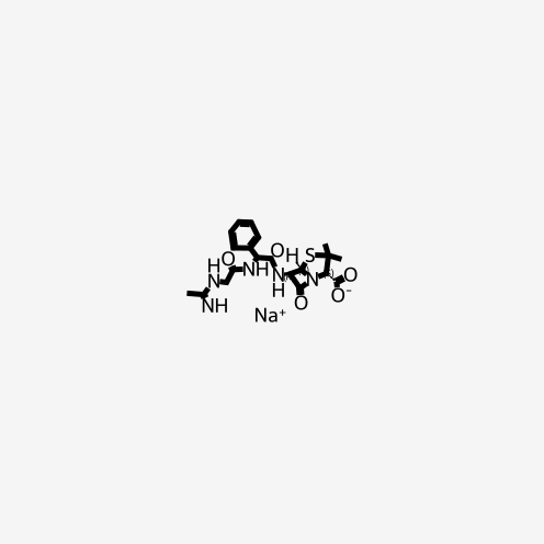 CC(=N)NCC(=O)NC(C(=O)N[C@@H]1C(=O)N2[C@@H]1SC(C)(C)[C@@H]2C(=O)[O-])c1ccccc1.[Na+]